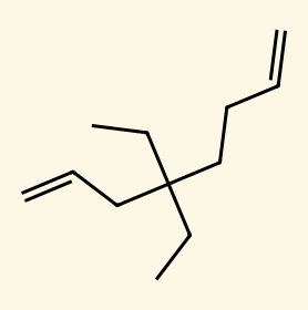 C=CCCC(CC)(CC)CC=C